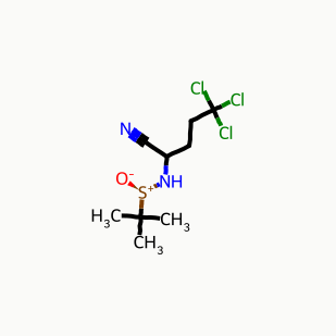 CC(C)(C)[S@@+]([O-])NC(C#N)CCC(Cl)(Cl)Cl